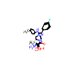 Cc1ccc(Nc2c(-c3ccc(F)cc3)nc3n2CCN(C(=O)C(C)(N)CO)C3)cc1